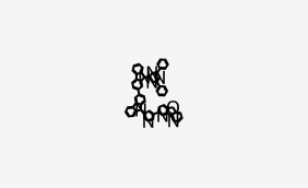 c1ccc(-c2nc(-c3ccccc3)nc(-n3c4ccccc4c4ccc(-c5ccc6c(c5)c5ccccc5n6-c5cncc(-c6ccc7oc8cccnc8c7n6)c5)cc43)n2)cc1